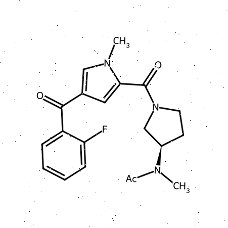 CC(=O)N(C)[C@@H]1CCN(C(=O)c2cc(C(=O)c3ccccc3F)cn2C)C1